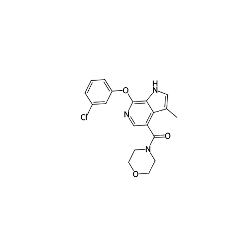 Cc1c[nH]c2c(Oc3cccc(Cl)c3)ncc(C(=O)N3CCOCC3)c12